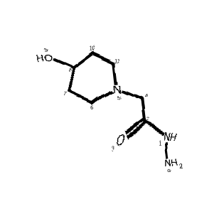 NNC(=O)CN1CCC(O)CC1